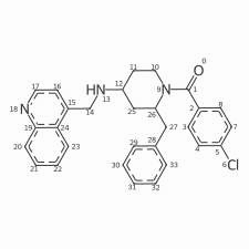 O=C(c1ccc(Cl)cc1)N1CCC(NCc2ccnc3ccccc23)CC1Cc1ccccc1